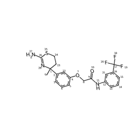 CC1(c2cccc(OCC(=O)Nc3cccc(C(F)(F)F)c3)c2)CCSC(N)=N1